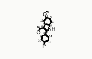 COc1ccc2[nH]c(-c3ccc(F)cc3)c(C=O)c2c1